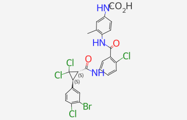 Cc1cc(NC(=O)O)ccc1NC(=O)c1cc(NC(=O)[C@@H]2[C@@H](c3ccc(Cl)c(Br)c3)C2(Cl)Cl)ccc1Cl